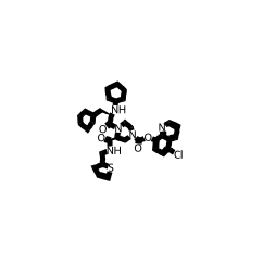 O=C(NCC1CC=CS1)[C@@H]1CN(C(=O)Oc2ccc(Cl)c3cccnc23)CCN1C(=O)[C@@H](CC1CCCCC1)NC1CCCCC1